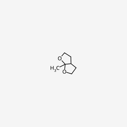 CC12OCCC1CCO2